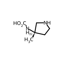 C[C@]1(NC(=O)O)CCNC1